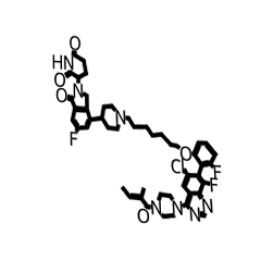 C/C=C(\C)C(=O)N1CCN(c2ncnc3c(F)c(-c4c(F)cccc4OCCCCCCCN4CCC(c5cc(F)cc6c5CN(C5CCC(=O)NC5=O)C6=O)CC4)c(Cl)cc23)CC1